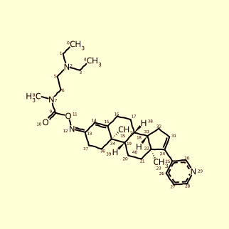 CCN(CC)CCN(C)C(=O)ON=C1C=C2CC[C@H]3[C@H](CC[C@]4(C)C(c5cccnc5)=CC[C@@H]34)[C@@]2(C)CC1